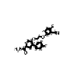 N#Cc1cc(OCCOc2cnc(C(N)=O)cc2-c2ccc(F)cc2)ccc1F